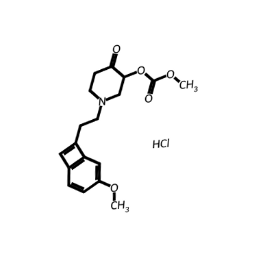 COC(=O)OC1CN(CCC2=Cc3ccc(OC)cc32)CCC1=O.Cl